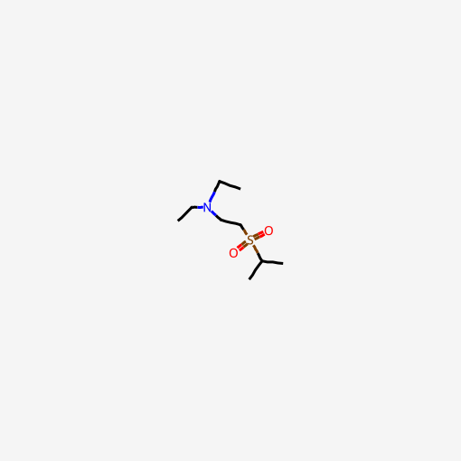 CCN(CC)CCS(=O)(=O)C(C)C